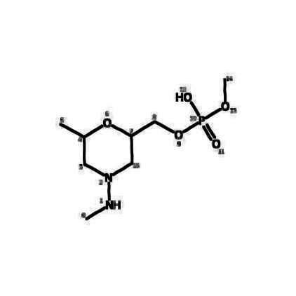 CNN1CC(C)OC(COP(=O)(O)OC)C1